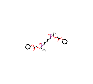 CC(OCC(=O)OC1CCCCC1)[PH](=O)CCCCC[PH](=O)C(C)OCC(=O)OC1CCCCC1